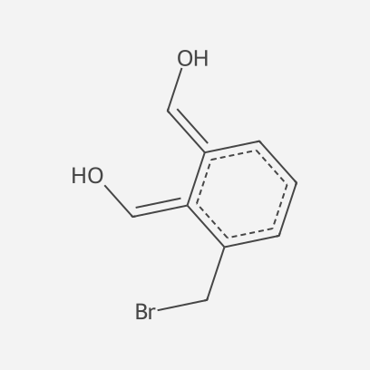 OC=c1cccc(CBr)c1=CO